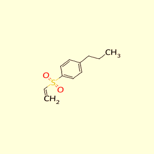 C=CS(=O)(=O)c1ccc(CCC)cc1